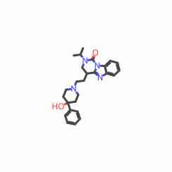 CC(C)N1CC(CCN2CCC(O)(c3ccccc3)CC2)c2nc3ccccc3n2C1=O